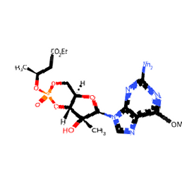 CCOC(=O)C[C@H](C)O[P@@]1(=O)OC[C@H]2O[C@@H](n3cnc4c(OC)nc(N)nc43)[C@](C)(O)[C@@H]2O1